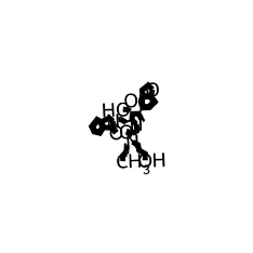 CCCCN(CCCO)C(=O)CN1C[C@H](c2ccc3c(c2)CCO3)[C@@H](C(=O)O)[C@@H]1CCN1Cc2ccccc2C1=O